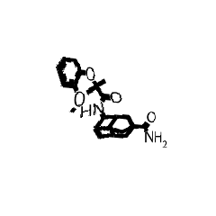 COc1ccccc1OC(C)(C)C(=O)NC1C2CC3CC1CC(C(N)=O)(C3)C2